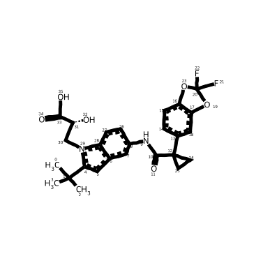 CC(C)(C)c1cc2cc(NC(=O)C3(c4ccc5c(c4)OC(F)(F)O5)CC3)ccc2n1C[C@@H](O)C(=O)O